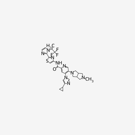 C[C@H](n1ccnc1-c1nc(NC(=O)c2cc(-n3cnc(C4CC4)c3)c(N3CC4CN(C)CC4C3)cn2)cs1)C(F)(F)F